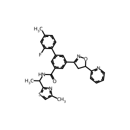 Cc1ccc(-c2cc(C(=O)NC(C)c3nc(C)cs3)cc(C3=NOC(c4ccccn4)C3)c2)c(F)c1